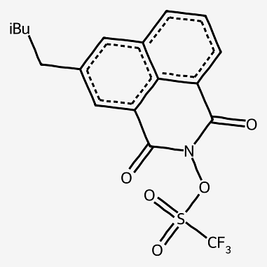 CCC(C)Cc1cc2c3c(cccc3c1)C(=O)N(OS(=O)(=O)C(F)(F)F)C2=O